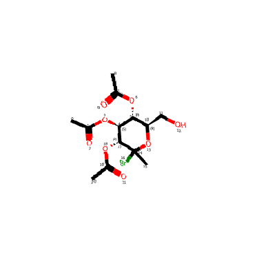 CC(=O)O[C@H]1[C@H](OC(C)=O)[C@@H](CO)OC(C)(Br)[C@@H]1OC(C)=O